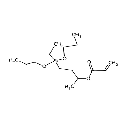 C=CC(=O)OC(C)CC[Si](CC)(OCCC)OCCC